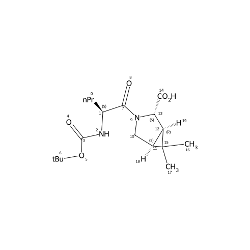 CCC[C@H](NC(=O)OC(C)(C)C)C(=O)N1C[C@H]2[C@@H]([C@H]1C(=O)O)C2(C)C